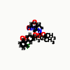 CC(C)(C)OC(=O)N1CCC2(COCC(=O)N2)C1COC1CCC(c2c(O)cccc2F)CC1